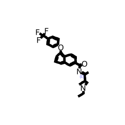 CCN1CC(/C(C)=N/C(=O)c2ccc3c(Oc4ccc(C(F)(F)F)cc4)cccc3c2)C1